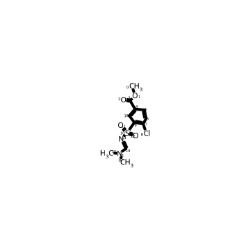 COC(=O)c1ccc(Cl)c(S(=O)(=O)N=CN(C)C)c1